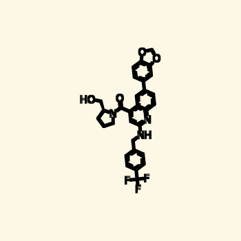 O=C(c1cc(NCc2ccc(C(F)(F)F)cc2)nc2ccc(-c3ccc4c(c3)OCO4)cc12)N1CCC[C@H]1CO